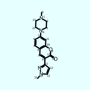 CN1CCN(c2ccc3cc(-c4ccn(C)n4)c(=O)oc3c2)CC1